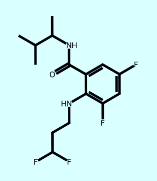 CC(C)C(C)NC(=O)c1cc(F)cc(F)c1NCCC(F)F